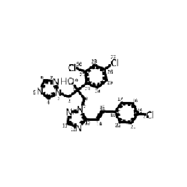 OC(Cn1cncn1)(Cn1ncnc1C=Cc1ccc(Cl)cc1)c1ccc(Cl)cc1Cl